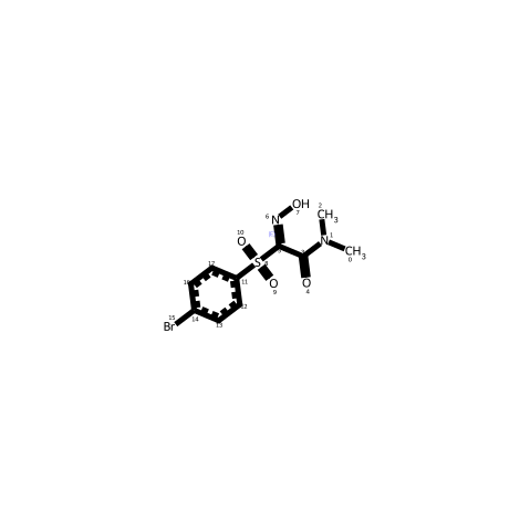 CN(C)C(=O)/C(=N\O)S(=O)(=O)c1ccc(Br)cc1